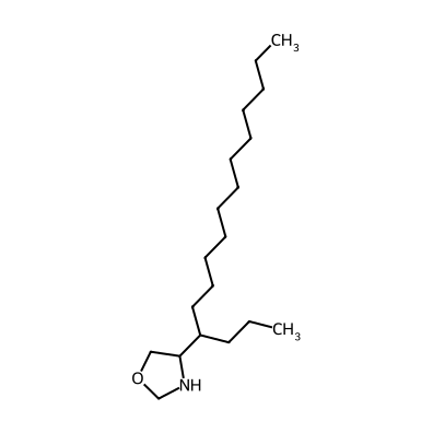 CCCCCCCCCCCCC(CCC)C1COCN1